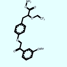 COc1cccc(C(=O)COc2ccc(CC(OCC(F)(F)F)C(=O)ON)cc2)c1